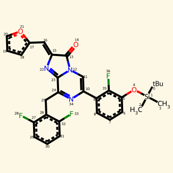 CC(C)(C)[Si](C)(C)Oc1cccc(C2=CN3C(=O)/C(=C/c4ccco4)N=C3C(Cc3c(F)cccc3F)=N2)c1F